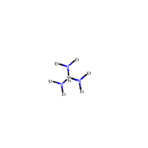 CC[N](CC)[SnH]([N](CC)CC)[N](CC)CC